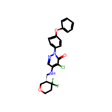 O=c1c(Cl)c(NC[C@H]2COCCC2(F)F)cnn1-c1ccc(Oc2ccccc2)cc1